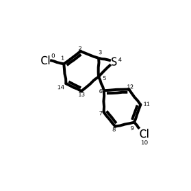 ClC1=CC2SC2(c2ccc(Cl)cc2)C=C1